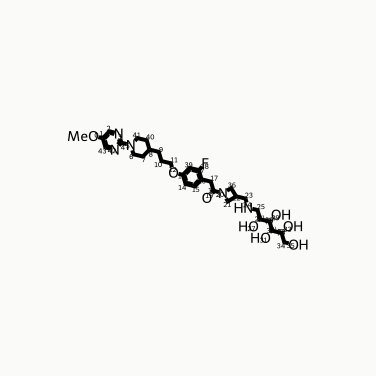 COc1cnc(N2CCC(CCCOc3ccc(CC(=O)N4CC(CNC[C@H](O)[C@@H](O)[C@H](O)[C@H](O)CO)C4)c(F)c3)CC2)nc1